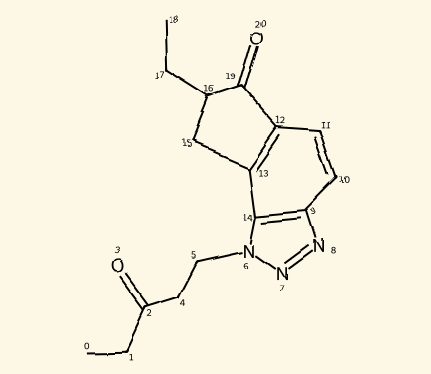 CCC(=O)CCn1nnc2ccc3c(c21)CC(CC)C3=O